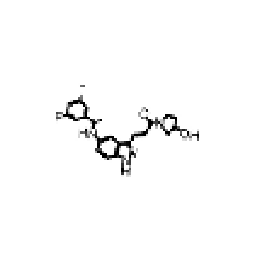 C[C@@H](Nc1ccc2[nH]nc(/C=C/C(=O)N3CCC(O)C3)c2c1)c1cc(F)cc(F)c1